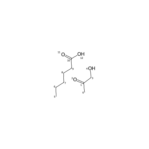 CC(=O)CO.CCCCCC(=O)O